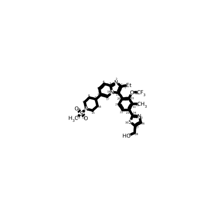 CCc1nc2ccc(C3CCN(S(C)(=O)=O)CC3)cn2c1-c1ccc(-c2ncc(CO)s2)c(C)c1OC(F)(F)F